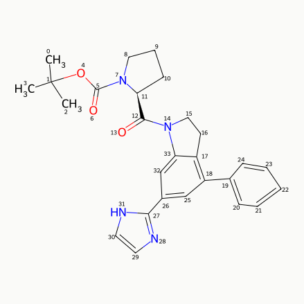 CC(C)(C)OC(=O)N1CCC[C@H]1C(=O)N1CCc2c(-c3ccccc3)cc(-c3ncc[nH]3)cc21